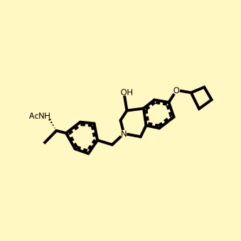 CC(=O)N[C@@H](C)c1ccc(CN2Cc3ccc(OC4CCC4)cc3C(O)C2)cc1